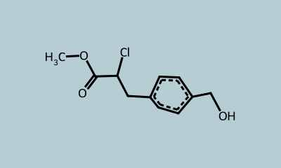 COC(=O)C(Cl)Cc1ccc(CO)cc1